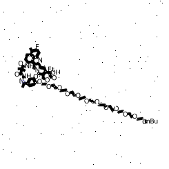 CCCCOCCOCCOCCOCCOCCOCCOCCOCCOCCOCCOCCOc1ccc(/C(C)=N\NC(=O)C(C)(C)C(=O)N[C@@H]2CCc3c(C)c(F)cc4nc5c(c2c34)Cn2c-5cc3c(c2=O)COC(=O)[C@@]3(O)CC)cc1